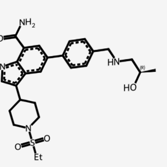 CCS(=O)(=O)N1CCC(c2c[nH]c3c(C(N)=O)cc(-c4ccc(CNC[C@@H](C)O)cc4)cc23)CC1